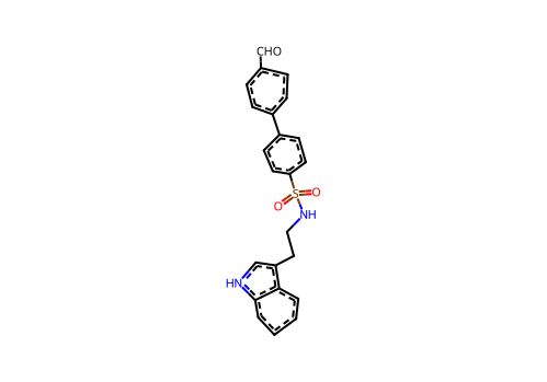 O=Cc1ccc(-c2ccc(S(=O)(=O)NCCc3c[nH]c4ccccc34)cc2)cc1